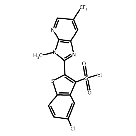 CCS(=O)(=O)c1c(-c2nc3cc(C(F)(F)F)cnc3n2C)sc2ccc(Cl)cc12